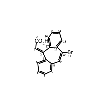 O=C(O)/C=C1/c2ccccc2C=C(Br)c2ccccc21